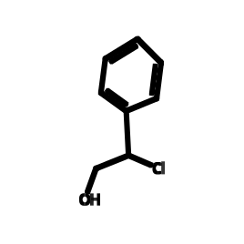 OCC(Cl)c1ccccc1